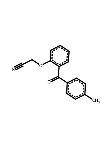 Cc1ccc(C(=O)c2ccccc2OCC#N)cc1